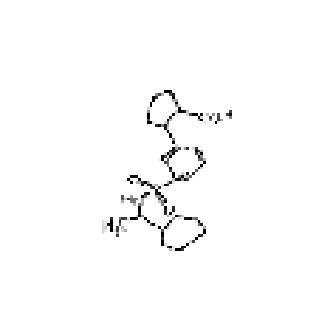 CC(NS(=O)(=O)c1cccc(C2CCCC2C(=O)O)c1)C1CCCCC1